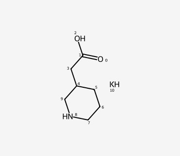 O=C(O)CC1CCCNC1.[KH]